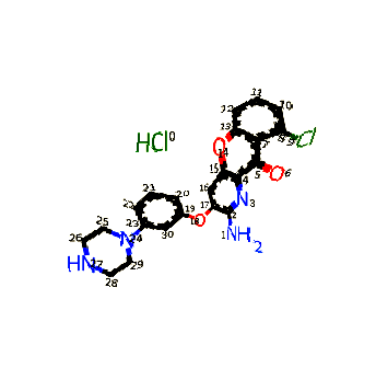 Cl.Nc1nc2c(=O)c3c(Cl)cccc3oc2cc1Oc1cccc(N2CCNCC2)c1